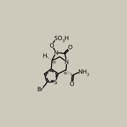 NC(=O)[C@@H]1c2sc(Br)cc2[C@@H]2CN1C(=O)N2OS(=O)(=O)O